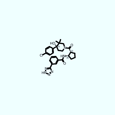 CC1(C)CN(C(=O)[C@H]2CCC[C@H]2NC(=O)c2cccc(-c3nn[nH]n3)c2)CC[C@]1(O)c1ccc(Cl)cc1